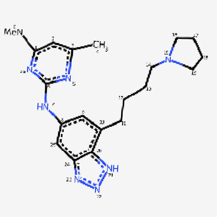 CNc1cc(C)nc(Nc2cc(CCCCN3CCCC3)c3[nH]nnc3c2)n1